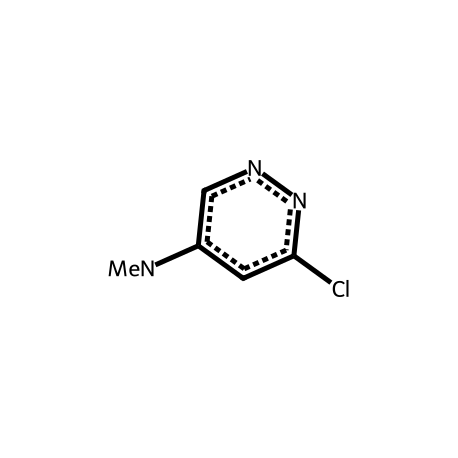 CNc1cnnc(Cl)c1